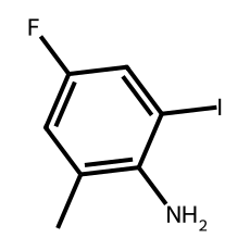 Cc1cc(F)cc(I)c1N